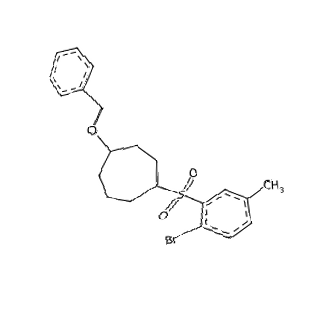 Cc1ccc(Br)c(S(=O)(=O)C2CCCC(OCc3ccccc3)CC2)c1